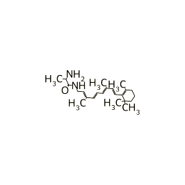 CC(C=CC1=C(C)CCCC1(C)C)=CC=CC(C)=CCNC(=O)C(C)N